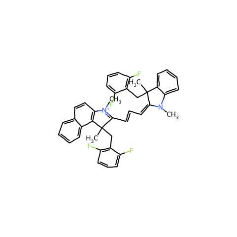 CN1/C(=C/C=C/C2=[N+](C)c3ccc4ccccc4c3C2(C)Cc2c(F)cccc2F)C(C)(Cc2c(F)cccc2F)c2ccccc21